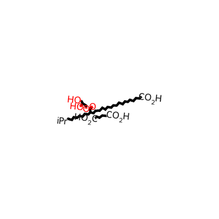 CC(C)CCCCCCCCC(CCCCCCCCCCCCCCCCCC(=O)O)C(=O)OCC(O)CO.O=C(O)CCCCC(=O)O